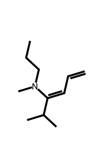 C=C/C=C(/C(C)C)N(C)CCC